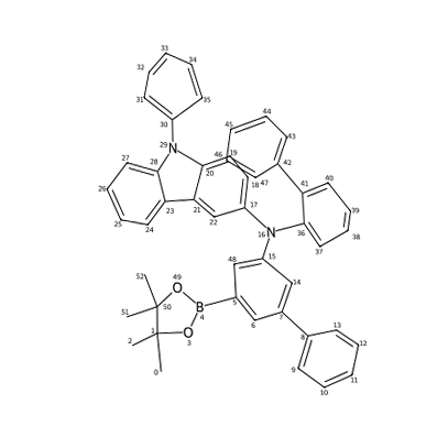 CC1(C)OB(c2cc(-c3ccccc3)cc(N(c3ccc4c(c3)c3ccccc3n4-c3ccccc3)c3ccccc3-c3ccccc3)c2)OC1(C)C